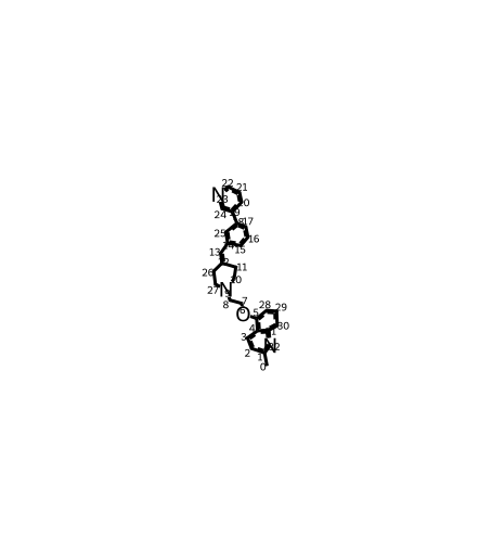 Cc1ccc2c(OCCN3CCC(=Cc4cccc(-c5cccnc5)c4)CC3)cccc2n1